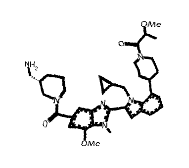 COc1cc(C(=O)N2CCC[C@@H](CN)C2)cc2nc(-c3cc4cccc(C5CCN(C(=O)C(C)OC)CC5)c4n3CC3CC3)n(C)c12